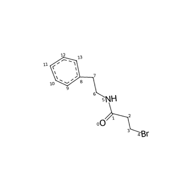 O=C(CCBr)NCCc1ccccc1